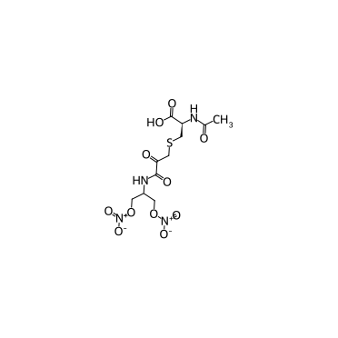 CC(=O)N[C@@H](CSCC(=O)C(=O)NC(CO[N+](=O)[O-])CO[N+](=O)[O-])C(=O)O